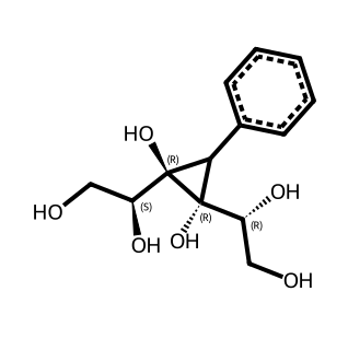 OC[C@@H](O)[C@]1(O)C(c2ccccc2)[C@@]1(O)[C@@H](O)CO